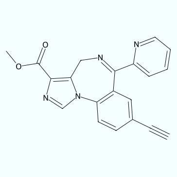 C#Cc1ccc2c(c1)C(c1ccccn1)=NCc1c(C(=O)OC)ncn1-2